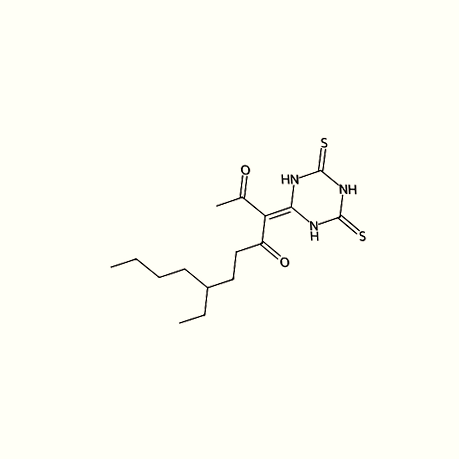 CCCCC(CC)CCC(=O)C(C(C)=O)=C1NC(=S)NC(=S)N1